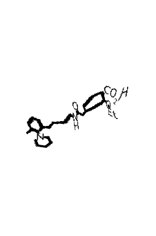 CCOc1cc(CC(=O)NCCCCc2cccc(C)c2N2CCCCC2)ccc1C(=O)O